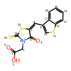 O=C(O)CN1C(=O)/C(=C\c2csc3ccccc23)SC1=S